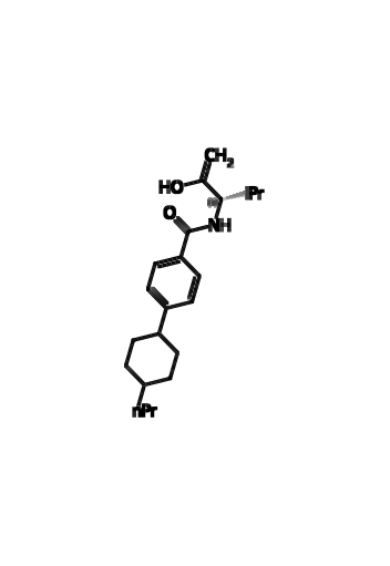 C=C(O)[C@@H](NC(=O)c1ccc(C2CCC(CCC)CC2)cc1)C(C)C